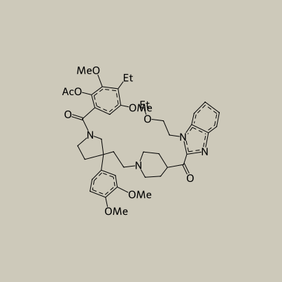 CCOCCn1c(C(=O)C2CCN(CCC3(c4ccc(OC)c(OC)c4)CCN(C(=O)c4cc(OC)c(CC)c(OC)c4OC(C)=O)C3)CC2)nc2ccccc21